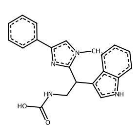 Cn1cc(-c2ccccc2)nc1C(CNC(=O)O)c1c[nH]c2ccccc12